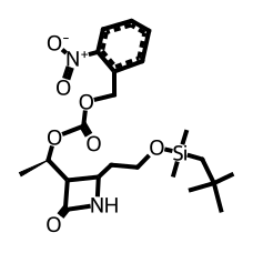 C[C@@H](OC(=O)OCc1ccccc1[N+](=O)[O-])C1C(=O)NC1CCO[Si](C)(C)CC(C)(C)C